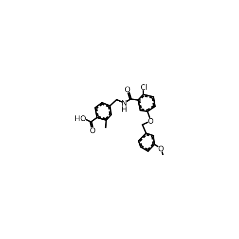 COc1cccc(COc2ccc(Cl)c(C(=O)NCc3ccc(C(=O)O)c(C)c3)c2)c1